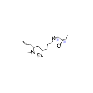 C=CCC(CC(CC)CCC/N=C\C(Cl)=C/C)N=C